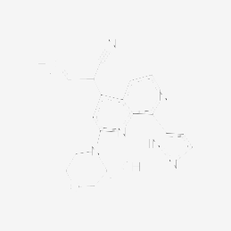 C=CC(C#N)c1cc(N2CCOC[C@H]2C)nc2c(-c3ccn[nH]3)nccc12